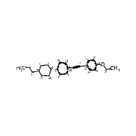 CCC[C@H]1CC[C@H](c2ccc(C#Cc3ccc(OCC)cc3)cc2)CC1